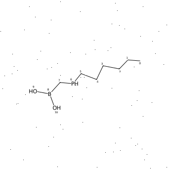 CCCCCCPCB(O)O